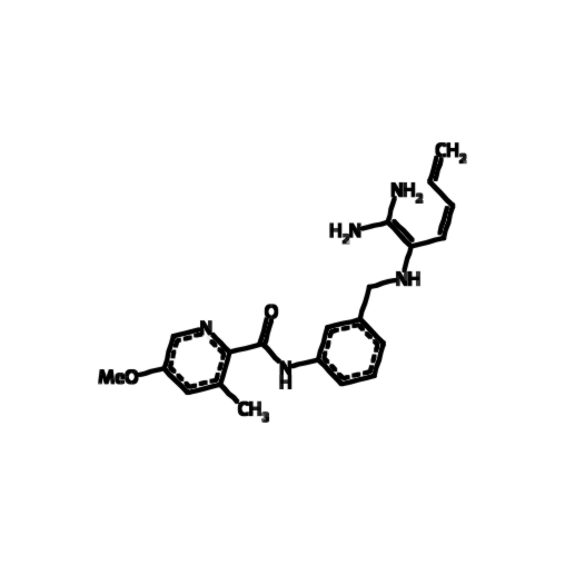 C=C/C=C\C(NCc1cccc(NC(=O)c2ncc(OC)cc2C)c1)=C(N)N